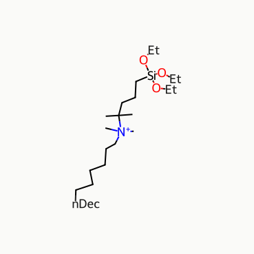 CCCCCCCCCCCCCCCC[N+](C)(C)C(C)(C)CCC[Si](OCC)(OCC)OCC